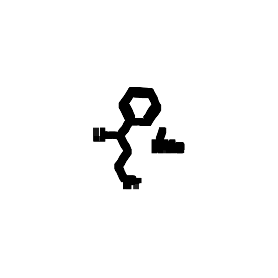 CNC.[Li][CH](CCC(C)C)c1ccccc1